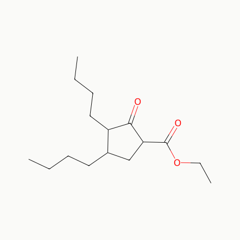 CCCCC1CC(C(=O)OCC)C(=O)C1CCCC